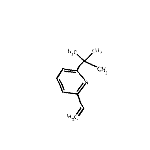 C=Cc1cccc(C(C)(C)C)n1